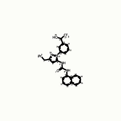 CC(C)Cc1cc(NC(=O)Nc2cccc3ccccc23)n(-c2cccc(C(O)C(F)(F)F)c2)n1